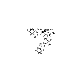 Cc1cnc(N2CCN(C(=O)c3ccc(N4C(=O)OC[C@H]4COC(=O)c4ccccc4)cc3N3CCCS3(=O)=O)CC2)c(C)c1